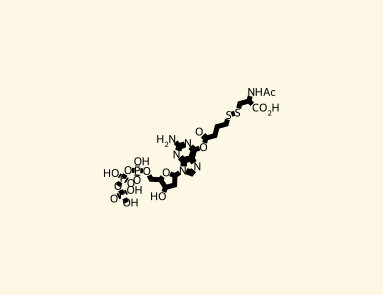 CC(=O)NC(CSSCCCC(=O)Oc1nc(N)nc2c1ncn2C1CC(O)C(COP(=O)(O)OP(=O)(O)OP(=O)(O)O)O1)C(=O)O